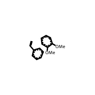 C=Cc1ccccc1.COc1ccccc1OC